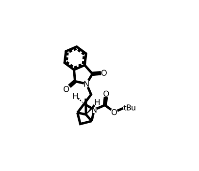 C[C@H]1C2CC1N(C(=O)OC(C)(C)C)[C@@H]2CN1C(=O)c2ccccc2C1=O